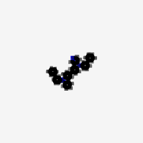 c1ccc(-c2cccc(-n3c4ccccc4c4cc(-c5ccc6c(c5)c5cnccc5n6-c5cccc(-c6ccccc6)c5)ccc43)c2)cc1